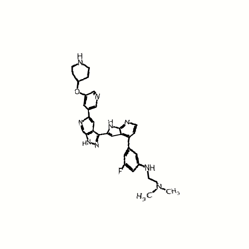 CN(C)CCNc1cc(F)cc(-c2ccnc3[nH]c(-c4n[nH]c5cnc(-c6cncc(OC7CCNCC7)c6)cc45)cc23)c1